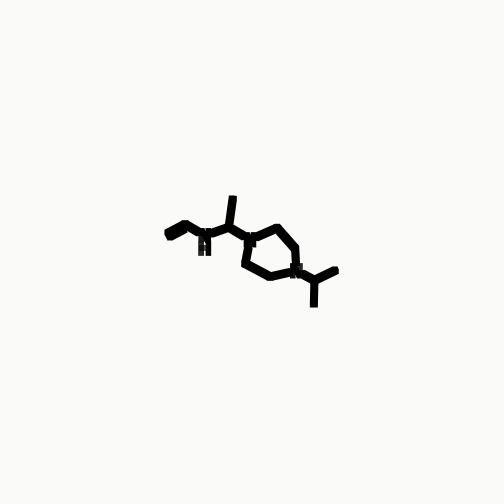 C=CNC(C)N1CCN(C(C)C)CC1